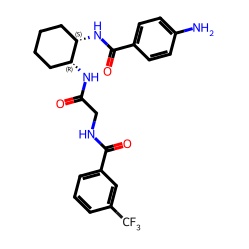 Nc1ccc(C(=O)N[C@H]2CCCC[C@H]2NC(=O)CNC(=O)c2cccc(C(F)(F)F)c2)cc1